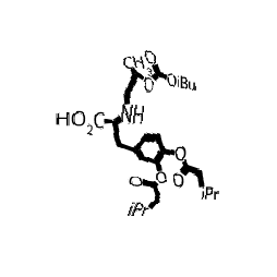 CC(C)COC(=O)OC(C)CN[C@@H](Cc1ccc(OC(=O)CC(C)C)c(OC(=O)CC(C)C)c1)C(=O)O